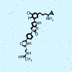 CC(=N)NCC[C@@H]1COC[C@@H](c2ccc(-n3cc4cc(-c5cc(CCCC(N)C6CC6)cc(Cl)c5F)[nH]c4nc3=O)cc2)N1